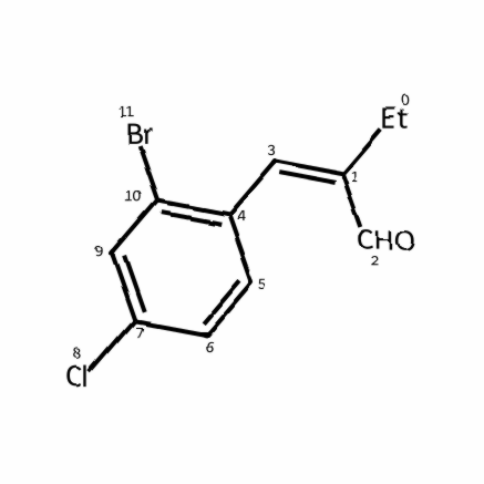 CCC(C=O)=Cc1ccc(Cl)cc1Br